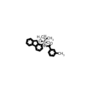 Cc1cccc(C(=O)[NH][Zr]([Cl])([Cl])([c]2cccc3c2Cc2ccccc2-3)[SiH](C)C)c1